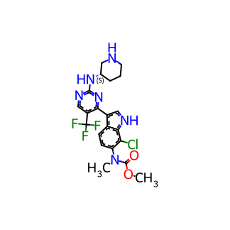 COC(=O)N(C)c1ccc2c(-c3nc(N[C@H]4CCCNC4)ncc3C(F)(F)F)c[nH]c2c1Cl